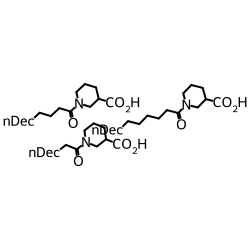 CCCCCCCCCCCC(=O)N1CCCC(C(=O)O)C1.CCCCCCCCCCCCCC(=O)N1CCCC(C(=O)O)C1.CCCCCCCCCCCCCCCC(=O)N1CCCC(C(=O)O)C1